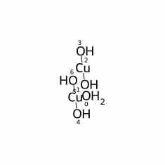 O.[OH][Cu][OH].[OH][Cu][OH]